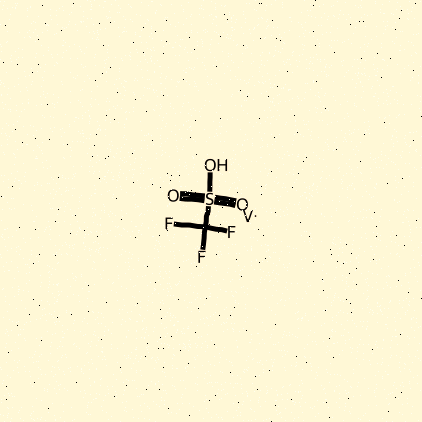 O=S(=O)(O)C(F)(F)F.[V]